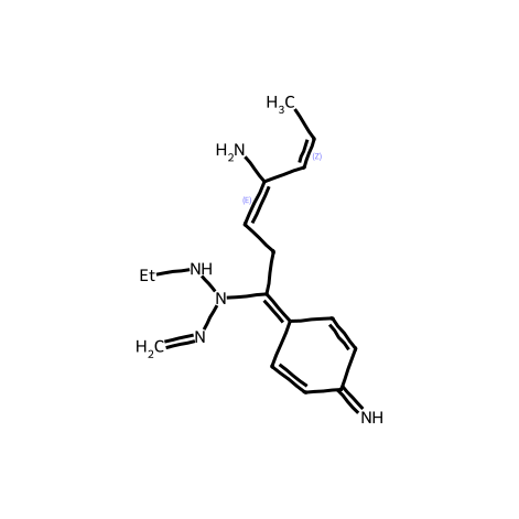 C=NN(NCC)C(C/C=C(N)\C=C/C)=C1C=CC(=N)C=C1